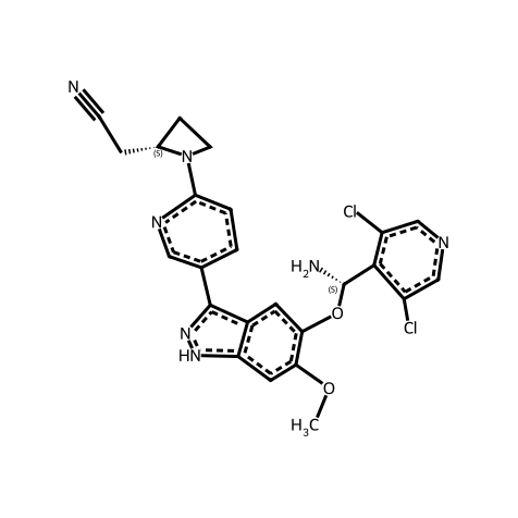 COc1cc2[nH]nc(-c3ccc(N4CC[C@H]4CC#N)nc3)c2cc1O[C@H](N)c1c(Cl)cncc1Cl